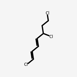 ClC=CC=CC(Cl)CCCl